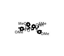 COc1ccc(SN(CC(=O)NSC)c2cccc3c2CCN3C(C(=O)NSc2ccc(C)cc2OC)c2cccc(OC)c2)cc1